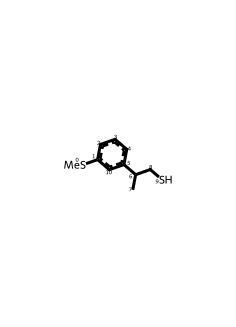 CSc1cccc(C(C)CS)c1